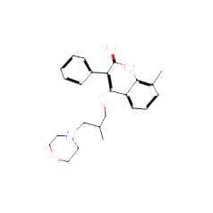 Cc1cccc2c(OCC(C)CN3CCOCC3)c(-c3ccccc3)c(=O)oc12